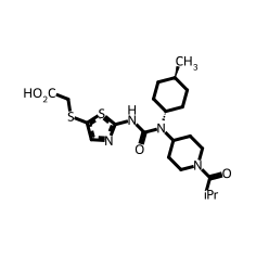 CC(C)C(=O)N1CCC(N(C(=O)Nc2ncc(SCC(=O)O)s2)[C@H]2CC[C@H](C)CC2)CC1